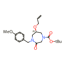 C=CCO[C@@H]1CN(Cc2ccc(OC)cc2)C(=O)CN(C(=O)OC(C)(C)C)C1